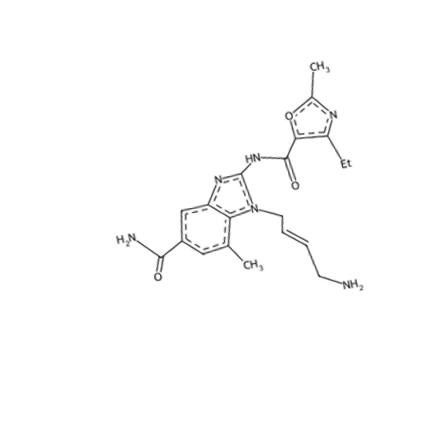 CCc1nc(C)oc1C(=O)Nc1nc2cc(C(N)=O)cc(C)c2n1C/C=C/CN